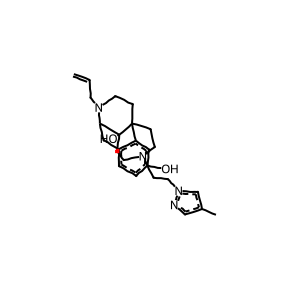 C=CCN1CCC23CCN(CCn4cc(C)cn4)CCC2(O)C1Cc1ccc(O)cc13